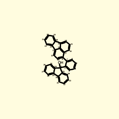 OC1(c2ccccc2-c2ccc3c4c(cccc24)-c2ccccc2-3)c2ccccc2-c2ccccc21